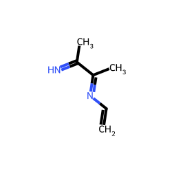 C=C/N=C(\C)C(C)=N